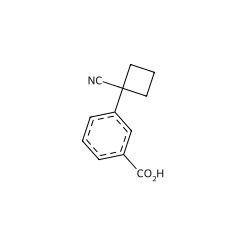 N#CC1(c2cccc(C(=O)O)c2)CCC1